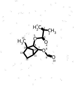 C=C(C)C(=O)OC1C(OC=O)C2CCC1(C)C2